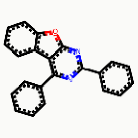 c1ccc(-c2nc(-c3ccccc3)c3c(n2)oc2ccccc23)cc1